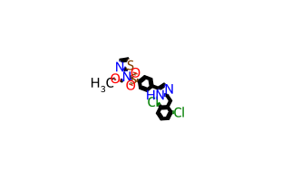 COCN(c1nccs1)S(=O)(=O)c1ccc(-c2cnc(Cc3c(Cl)cccc3Cl)[nH]2)cc1